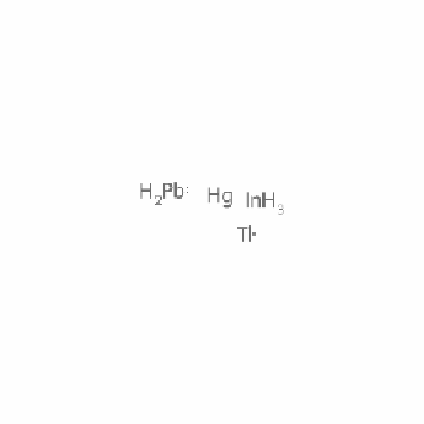 [Hg].[InH3].[PbH2].[Tl]